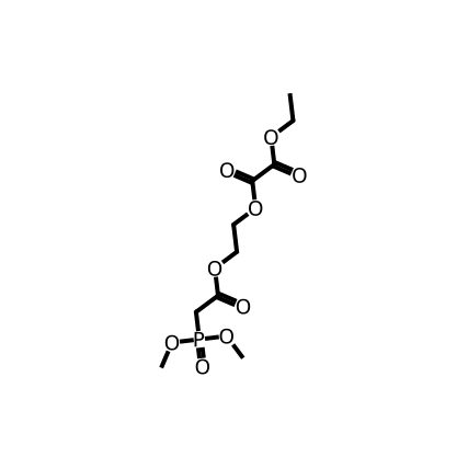 CCOC(=O)C(=O)OCCOC(=O)CP(=O)(OC)OC